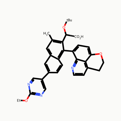 CCOc1ncc(-c2ccc3c(-c4ccc5c6c(ccnc46)CCO5)c(C(OC(C)(C)C)C(=O)O)c(C)cc3c2)cn1